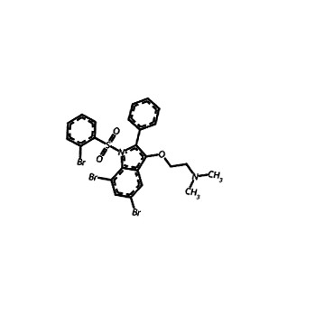 CN(C)CCOc1c(-c2ccccc2)n(S(=O)(=O)c2ccccc2Br)c2c(Br)cc(Br)cc12